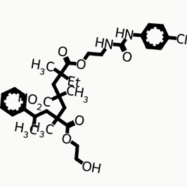 CCC(C)(CC(C)(CC(C)(CC(C)c1ccccc1)C(=O)OCCO)C(=O)O)C(=O)OCCNC(=O)Nc1ccc(C#N)cc1